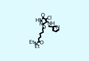 CCN(CC)C(=O)CCCCCOc1n[nH]c(=O)c(Cl)c1NCc1cccnc1